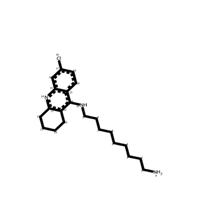 NCCCCCCCCCNc1c2c(nc3cc(Cl)ccc13)CCCC2